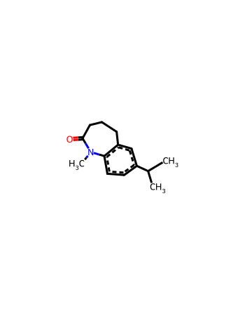 CC(C)c1ccc2c(c1)CCCC(=O)N2C